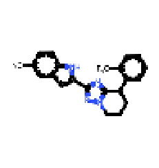 N#Cc1ccc2[nH]c(-c3nc4n(n3)CCCC4c3ccccc3C(F)(F)F)cc2c1